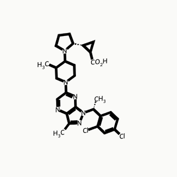 Cc1nn([C@H](C)c2ccc(Cl)cc2Cl)c2nc(N3CCC(N4CCCC4[C@@H]4CC4C(=O)O)C(C)C3)cnc12